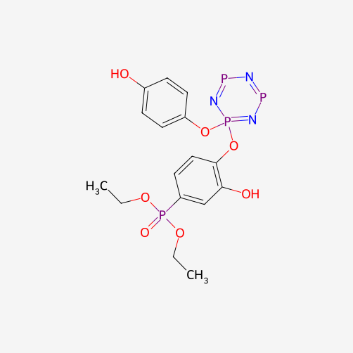 CCOP(=O)(OCC)c1ccc(OP2(Oc3ccc(O)cc3)=NP=NP=N2)c(O)c1